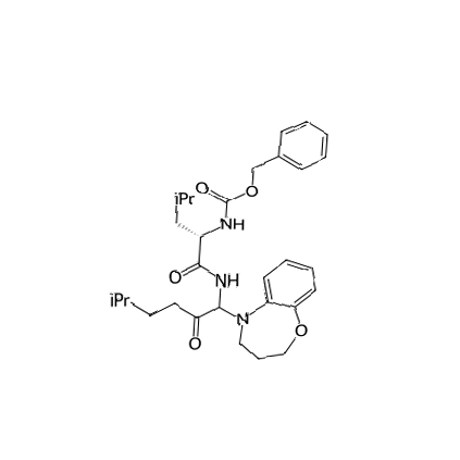 CC(C)CCC(=O)C(NC(=O)[C@H](CC(C)C)NC(=O)OCc1ccccc1)N1CCCOc2ccccc21